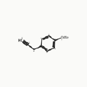 C#CCc1ccc(OC)cc1